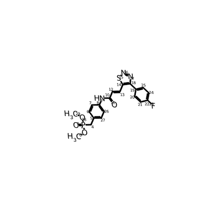 COP(=O)(Cc1ccc(NC(=O)/C=C/c2snnc2-c2ccc(F)cc2)cc1)OC